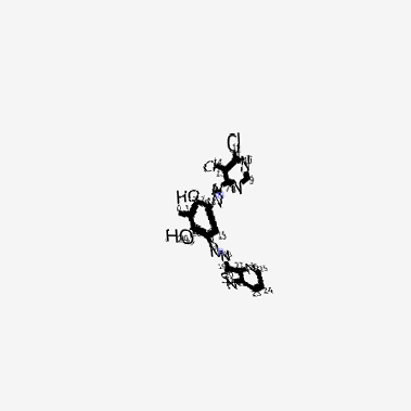 Cc1c(O)c(/N=N/c2ncnc(Cl)c2Cl)cc(/N=N/c2snc3cccnc23)c1O